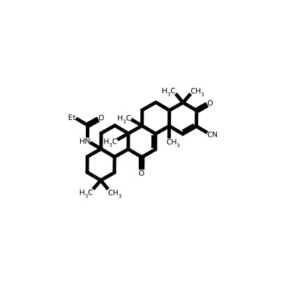 CCC(=O)NC12CCC(C)(C)CC1C1C(=O)C=C3C4(C)C=C(C#N)C(=O)C(C)(C)C4CCC3(C)C1(C)CC2